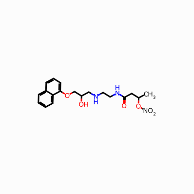 CC(CC(=O)NCCNCC(O)COc1cccc2ccccc12)O[N+](=O)[O-]